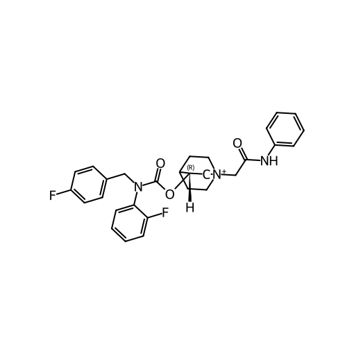 O=C(C[N+]12CCC(CC1)[C@@H](OC(=O)N(Cc1ccc(F)cc1)c1ccccc1F)C2)Nc1ccccc1